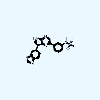 CS(=O)(=O)Nc1cccc(-c2cnc3[nH]cc(-c4ccc5[nH]cnc5c4)c3n2)c1